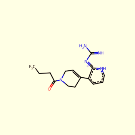 N=C(N)/N=c1\[nH]cccc1C1=CCN(C(=O)CCC(F)(F)F)CC1